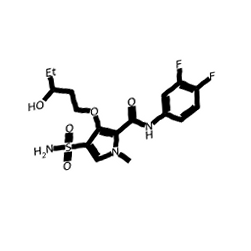 CCC(O)CCOc1c(S(N)(=O)=O)cn(C)c1C(=O)Nc1ccc(F)c(F)c1